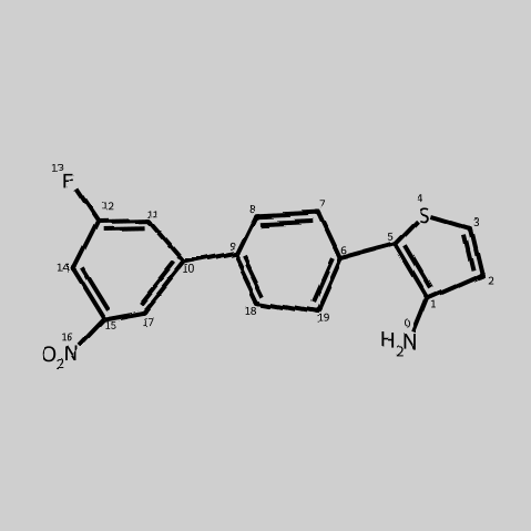 Nc1ccsc1-c1ccc(-c2cc(F)cc([N+](=O)[O-])c2)cc1